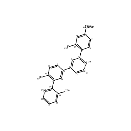 COc1ccc(-c2cc(-c3ccc(F)c(-c4ncccc4F)c3)cnn2)c(F)c1